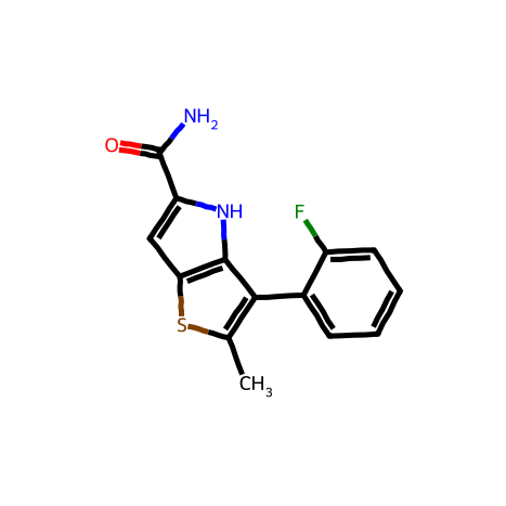 Cc1sc2cc(C(N)=O)[nH]c2c1-c1ccccc1F